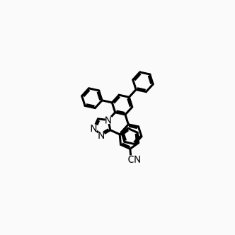 N#Cc1cccc(-c2nncn2-c2c(-c3ccccc3)cc(-c3ccccc3)cc2-c2ccccc2)c1